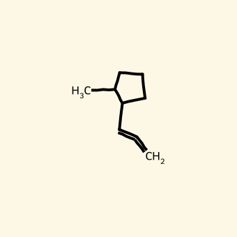 C=C=CC1CCCC1C